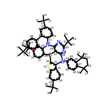 CC(C)(C)c1ccc(-c2cc(C(C)(C)C)ccc2N2c3cc(C(C)(C)C)ccc3B3c4sc5cc(C(C)(C)C)ccc5c4N(c4ccc5c(c4)C(C)(C)CCC5(C)C)c4nc(C(C)(C)C)nc2c43)cc1